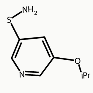 CC(C)Oc1cncc(SN)c1